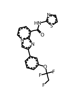 O=C(Nc1nccs1)c1cccn2cc(-c3cccc(OC(F)(F)CF)c3)nc12